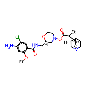 CCOc1cc(N)c(Cl)cc1C(=O)NC[C@@H]1CN(OC(=O)C(CC)[C@@H]2CN3CCC2CC3)CCO1